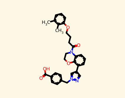 Cc1cccc(OCCCC(=O)N2CCOc3c(-c4cnn(Cc5ccc(C(=O)O)cc5)c4)cccc32)c1C